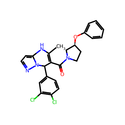 CC1=C(C(=O)N2CC[C@H](Oc3ccccc3)C2)C(c2ccc(Cl)c(Cl)c2)n2nccc2N1